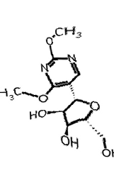 COc1ncc([C@@H]2O[C@H](CO)[C@@H](O)[C@H]2O)c(OC)n1